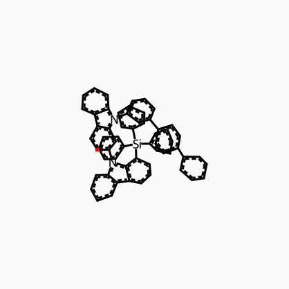 c1ccc(-c2ccc(-c3cccc(-n4c5ccccc5c5ccc(-n6c7ccccc7c7cccc([Si](c8ccccc8)(c8ccccc8)c8ccccc8)c76)cc54)c3)cc2)cc1